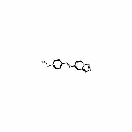 COc1ccc(CSc2ccn3nncc3c2)cc1